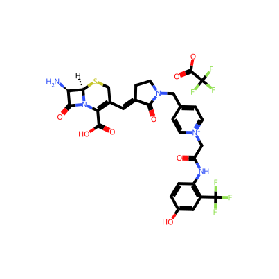 N[C@@H]1C(=O)N2C(C(=O)O)=C(/C=C3\CCN(Cc4cc[n+](CC(=O)Nc5ccc(O)cc5C(F)(F)F)cc4)C3=O)CS[C@H]12.O=C([O-])C(F)(F)F